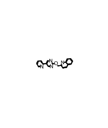 c1ccc(-c2cnc(OCc3ccc4ccccc4n3)nc2)nc1